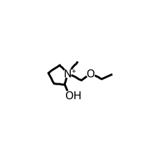 CCOC[N+]1(C)CCCC1O